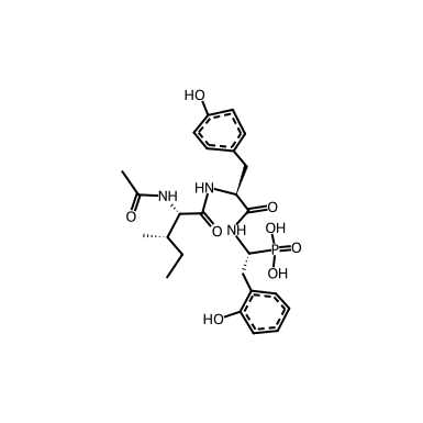 CC[C@H](C)[C@H](NC(C)=O)C(=O)N[C@@H](Cc1ccc(O)cc1)C(=O)N[C@@H](Cc1ccccc1O)P(=O)(O)O